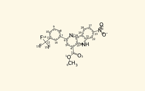 COC(=O)c1cc(-c2cccc(C(F)(F)F)c2)nc2c1[nH]c1cc([N+](=O)[O-])ccc12